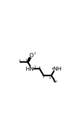 CC(=O)NCCC(C)[NH]